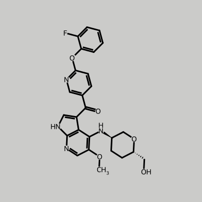 COc1cnc2[nH]cc(C(=O)c3ccc(Oc4ccccc4F)nc3)c2c1N[C@@H]1CC[C@@H](CO)OC1